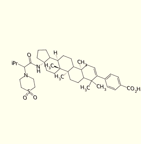 CC(C)C(C(=O)N[C@]12CCCC1[C@H]1CCC3[C@@]4(C)CC=C(c5ccc(C(=O)O)cc5)C(C)(C)C4CC[C@@]3(C)[C@]1(C)CC2)N1CCS(=O)(=O)CC1